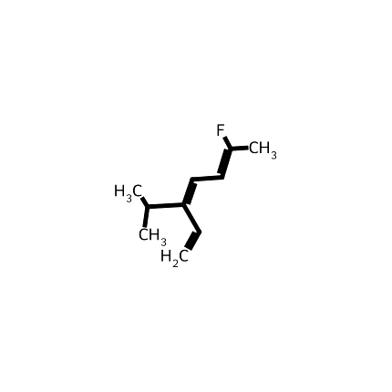 C=C/C(=C\C=C(\C)F)C(C)C